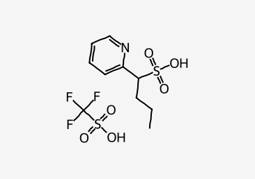 CCCC(c1ccccn1)S(=O)(=O)O.O=S(=O)(O)C(F)(F)F